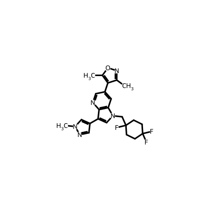 Cc1noc(C)c1-c1cnc2c(-c3cnn(C)c3)cn(CC3(F)CCC(F)(F)CC3)c2c1